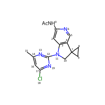 CC(=O)Nc1cc2c(cn1)C1(CC1)CN2c1nc(C)cc(Cl)n1